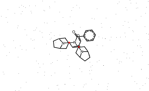 O=CCN1C2CCC1CC(N(C(=O)c1ccccc1)C1CC3CCC(C1)N3CC=O)C2